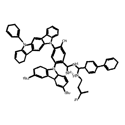 CC(C)C(C)CCNC(NC(N)c1cc(C#N)c(-n2c3ccccc3c3cc4c(cc32)c2c(n4C3=CCCC=C3)C=CCC2)cc1N1C2=C(C=C(C(C)(C)C)CC2)C2C=C(C(C)(C)C)C=CC21)C1C=CC(C2=CCCC=C2)=CC1